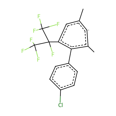 Cc1[c]c(C)c(-c2ccc(Cl)cc2)c(C(F)(C(F)(F)F)C(F)(F)F)c1